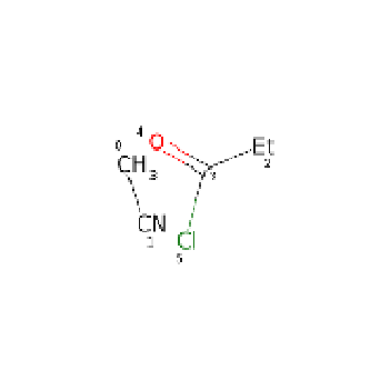 CC#N.CCC(=O)Cl